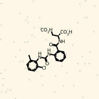 Cc1cccc(Cl)c1NC(=O)Nc1ccccc1C(=O)N[C@@H](CC(=O)O)C(=O)O